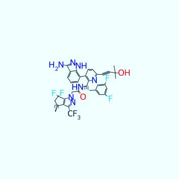 C[C@H]1CC(F)(F)c2c1c(C(F)(F)F)nn2CC(=O)N[C@@H](Cc1cc(F)cc(F)c1)c1nc(C#CC(C)(C)O)ccc1-c1cccc2c(N)n[nH]c12